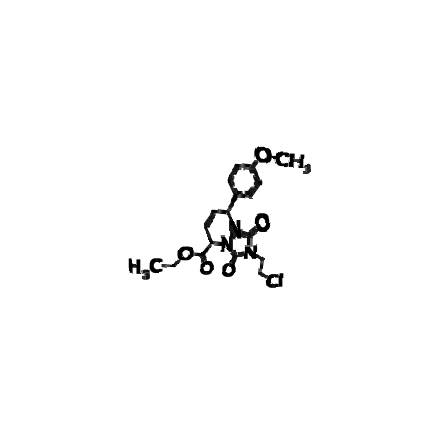 CCOC(=O)[C@H]1C=C[C@@H](c2ccc(OC)cc2)n2c(=O)n(CCCl)c(=O)n21